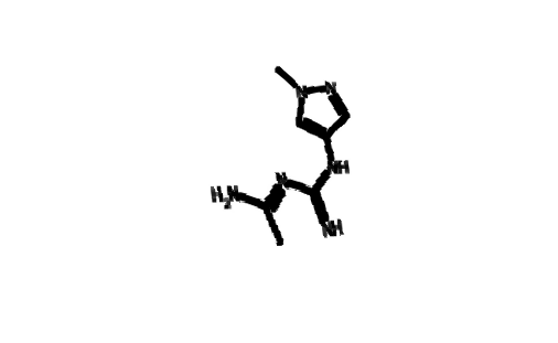 C/C(N)=N\C(=N)Nc1cnn(C)c1